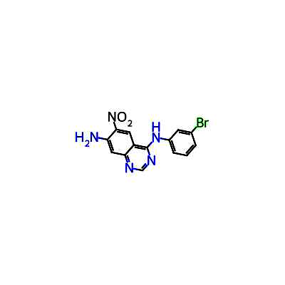 Nc1cc2ncnc(Nc3cccc(Br)c3)c2cc1[N+](=O)[O-]